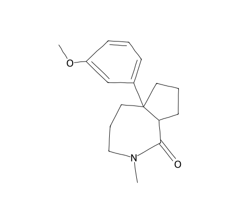 COc1cccc(C23CCCC2C(=O)N(C)CCC3)c1